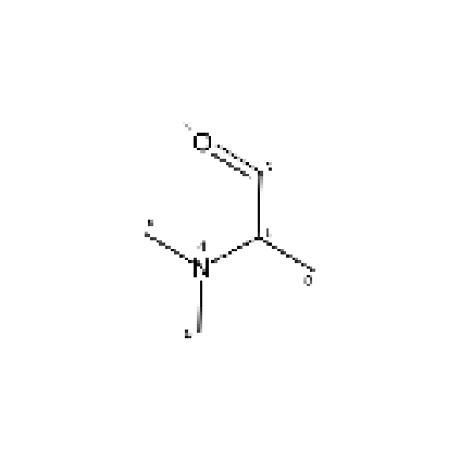 CC(C=O)N(C)C